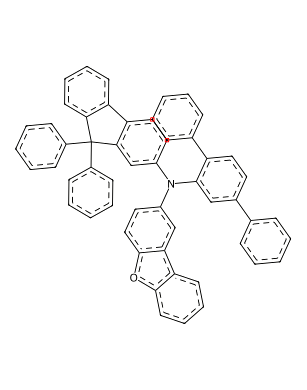 c1ccc(-c2ccc(-c3ccccc3)c(N(c3ccc4c(c3)C(c3ccccc3)(c3ccccc3)c3ccccc3-4)c3ccc4oc5ccccc5c4c3)c2)cc1